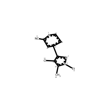 CCn1nc(-c2ccnc(C#N)c2)c(Cl)c1C